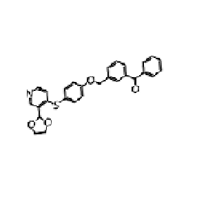 O=C(c1ccccc1)c1cccc(COc2ccc(Sc3ccncc3C3OCCO3)cc2)c1